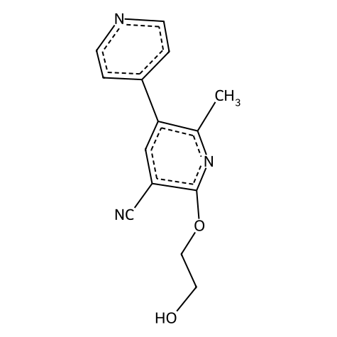 Cc1nc(OCCO)c(C#N)cc1-c1ccncc1